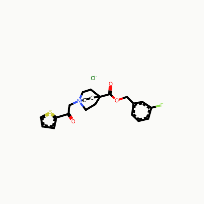 O=C(C[N+]12CCC(C(=O)OCc3cccc(F)c3)(CC1)CC2)c1cccs1.[Cl-]